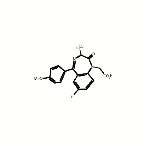 CC[C@H](C)C1N=C(c2ccc(OC)cc2)c2cc(F)ccc2N(CC(=O)O)C1=O